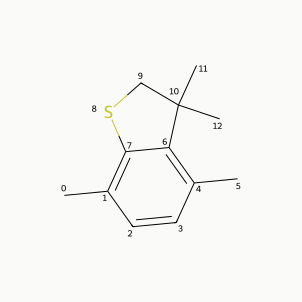 Cc1ccc(C)c2c1SCC2(C)C